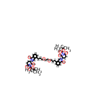 CC(C)(C)OC(=O)N1C(=O)CCC(N2Cc3c(CCCOCCOCCCc4cccc5c4CN(C4CCC(=O)N(C(=O)OC(C)(C)C)C4=O)C5=O)cccc3C2=O)C1=O